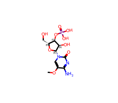 COc1cn([C@@H]2O[C@H](CO)[C@@H](OP(=O)(O)O)[C@H]2O)c(=O)nc1N